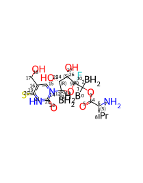 BC(B)(OC(=O)[C@@H](N)C(C)C)[C@@]1(F)O[C@@](B)(n2cc(CO)c(=S)[nH]c2=O)[C@H](O)[C@@H]1O